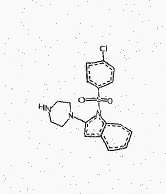 O=S(=O)(c1ccc(Cl)cc1)n1c(N2CCNCC2)cc2ccccc21